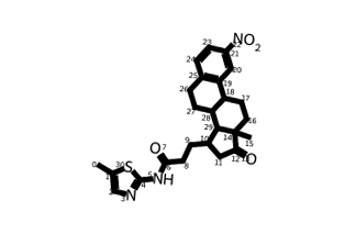 Cc1cnc(NC(=O)CCC2CC(=O)C3(C)CCC4c5cc([N+](=O)[O-])ccc5CCC4C23)s1